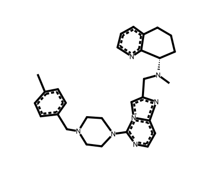 Cc1ccc(CN2CCN(c3nccc4nc(CN(C)[C@H]5CCCc6cccnc65)cn34)CC2)cc1